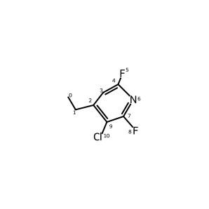 CCc1cc(F)nc(F)c1Cl